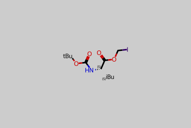 CC[C@H](C)[C@H](NC(=O)OC(C)(C)C)C(=O)OCI